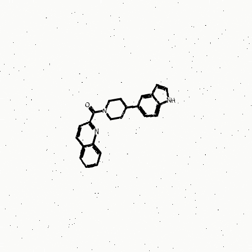 O=C(c1ccc2ccccc2n1)N1CCC(c2ccc3[nH]ccc3c2)CC1